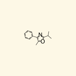 Cc1oc(C(C)C)nc1-c1ccccc1